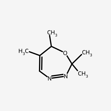 CC1=CN=NC(C)(C)OC1C